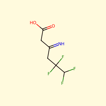 N=C(CC(=O)O)CC(F)(F)C(F)F